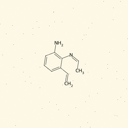 C=Cc1cccc(N)c1/N=C\C